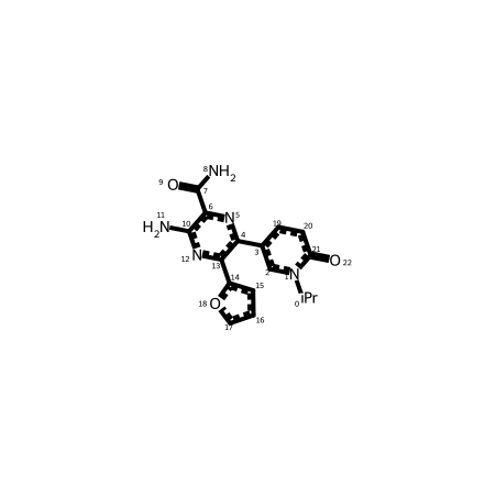 CC(C)n1cc(-c2nc(C(N)=O)c(N)nc2-c2ccco2)ccc1=O